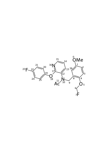 COc1ccc(OCF)c(CN(C(C)=O)c2cccnc2Oc2ccc(F)cc2)c1